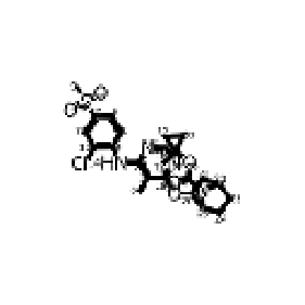 Cc1c(Nc2ccc(S(C)(=O)=O)cc2Cl)ncnc1O[C@H]1CC2CCC1N2C(=O)OC1(C)CC1